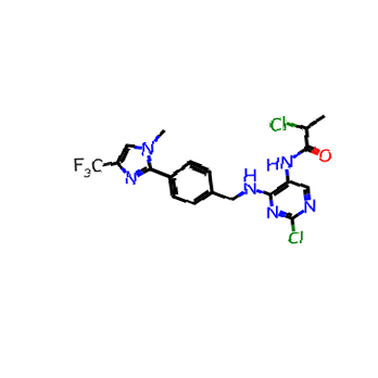 CC(Cl)C(=O)Nc1cnc(Cl)nc1NCc1ccc(-c2nc(C(F)(F)F)cn2C)cc1